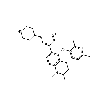 Cc1ccc(Oc2c(/C(C=N)=C/NC3CCNCC3)ccc3c2CCC(C)N3C)c(C)n1